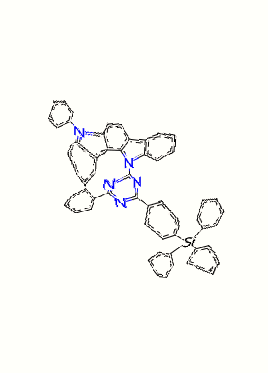 c1ccc(-c2nc(-c3ccc([Si](c4ccccc4)(c4ccccc4)c4ccccc4)cc3)nc(-n3c4ccccc4c4ccc5c(c6ccccc6n5-c5ccccc5)c43)n2)cc1